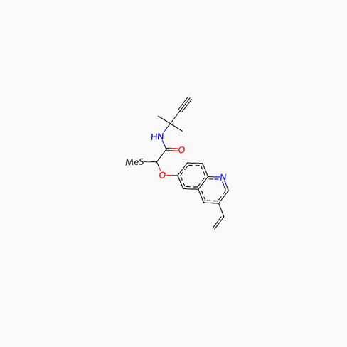 C#CC(C)(C)NC(=O)C(Oc1ccc2ncc(C=C)cc2c1)SC